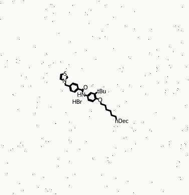 Br.CCCCCCCCCCCCCCCCOc1ccc(NC(=O)c2ccc(CN3C=CSC3)cc2)cc1C(C)(C)C